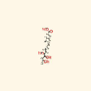 CC(/C=C/C=C1C=C(/C=C/C(=O)O)CC/1)=C\C(O)C(O)CC(C)O